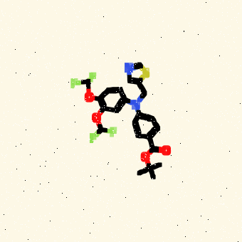 CC(C)(C)OC(=O)c1ccc(N(Cc2cncs2)c2ccc(OC(F)F)c(OC(F)F)c2)cc1